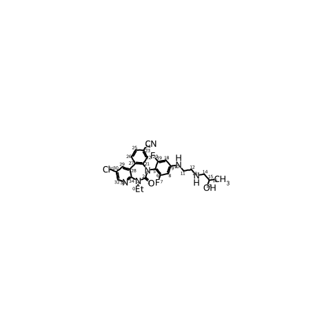 CCN1C(=O)N(c2c(F)cc(NCCNCC(C)O)cc2F)c2cc(C#N)ccc2-c2cc(Cl)cnc21